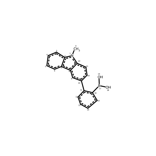 Cn1c2ccccc2c2cc(-c3ccccc3B(O)O)ccc21